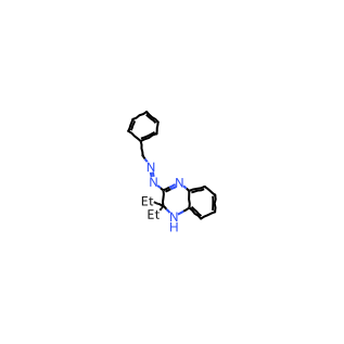 CCC1(CC)Nc2ccccc2N=C1N=NCc1ccccc1